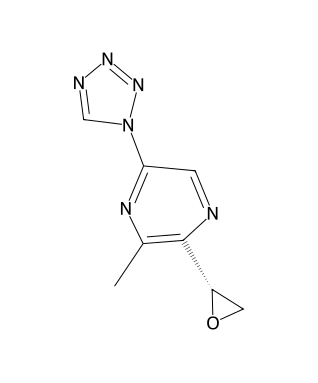 Cc1nc(-n2cnnn2)cnc1[C@@H]1CO1